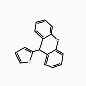 c1csc(C2c3ccccc3Oc3ccccc32)c1